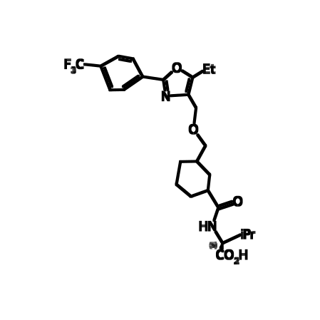 CCc1oc(-c2ccc(C(F)(F)F)cc2)nc1COCC1CCCC(C(=O)N[C@H](C(=O)O)C(C)C)C1